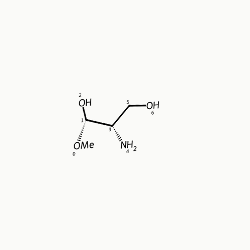 CO[C@H](O)[C@@H](N)CO